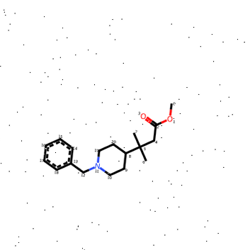 COC(=O)CC(C)(C)C1CCN(Cc2ccccc2)CC1